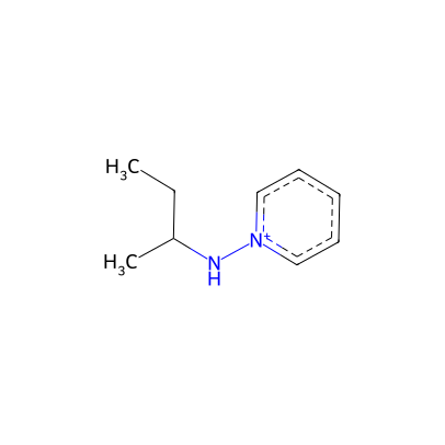 CCC(C)N[n+]1ccccc1